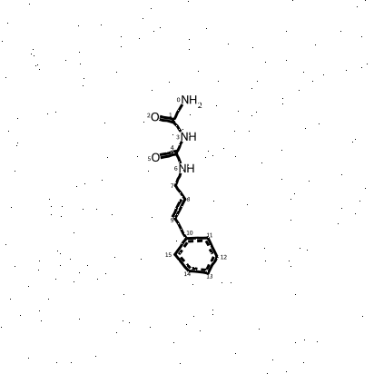 NC(=O)NC(=O)NCC=Cc1ccccc1